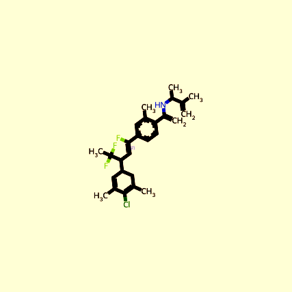 C=C(NC(C)C(=C)C)c1ccc(/C(F)=C/C(C2C=C(C)C(Cl)=C(C)C2)C(C)(F)F)cc1C